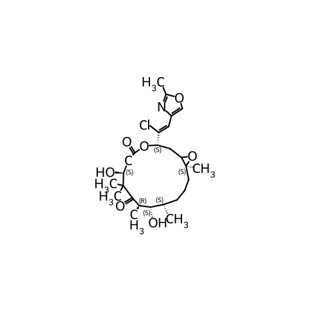 Cc1nc(C=C(Cl)[C@@H]2CC3O[C@@]3(C)CCC[C@H](C)[C@H](O)[C@@H](C)C(=O)C(C)(C)[C@@H](O)CC(=O)O2)co1